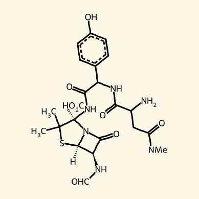 CNC(=O)CC(N)C(=O)NC(C(=O)N[C@@]1(C(=O)O)N2C(=O)[C@@H](NC=O)[C@H]2SC1(C)C)c1ccc(O)cc1